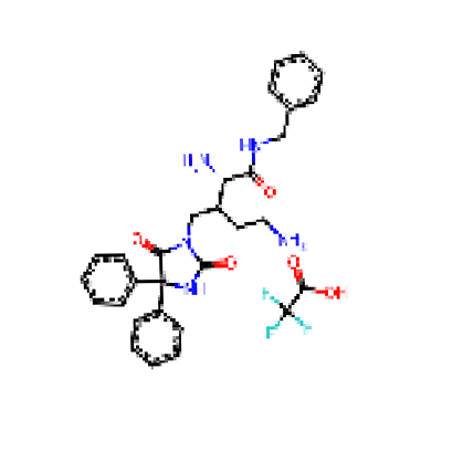 NCCC(CN1C(=O)NC(c2ccccc2)(c2ccccc2)C1=O)[C@H](N)C(=O)NCc1ccccc1.O=C(O)C(F)(F)F